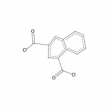 O=C(Cl)c1cc(C(=O)Cl)c2ccccc2c1